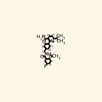 COc1ccc(F)cc1C(=O)NCc1ccc(-c2nc(C(C)C)ccc2C(N)=O)cc1